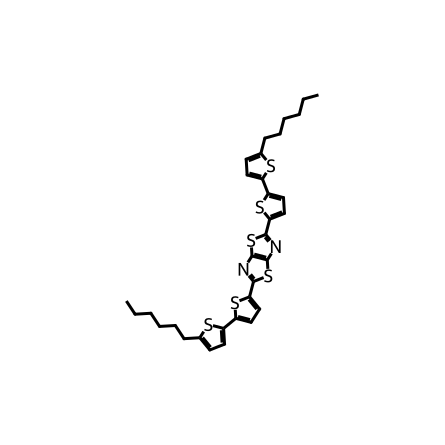 CCCCCCc1ccc(-c2ccc(-c3nc4sc(-c5ccc(-c6ccc(CCCCCC)s6)s5)nc4s3)s2)s1